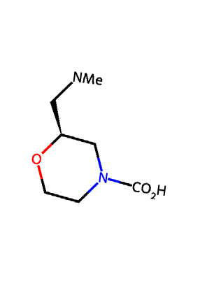 CNC[C@H]1CN(C(=O)O)CCO1